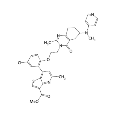 COC(=O)c1csc2c(-c3cc(Cl)ccc3OCCn3c(C)nc4c(c3=O)CC(N(C)c3ccncc3)CC4)cc(C)nc12